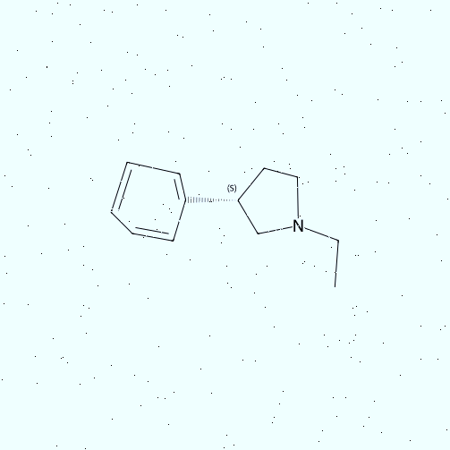 CCN1CC[C@@H](c2ccccc2)C1